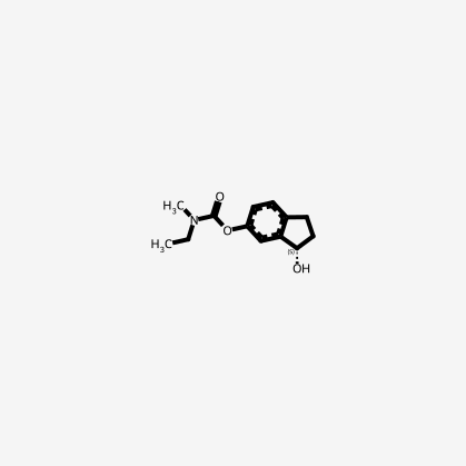 CCN(C)C(=O)Oc1ccc2c(c1)[C@@H](O)CC2